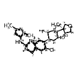 Cc1cc(Nc2ncc3cc(Cl)c([C@@H]4CCN([C@@]5(C)COC[C@H]5O)C[C@H]4F)cc3n2)n(C)n1